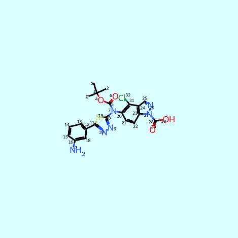 CC(C)(C)OC(=O)N(c1nnc(-c2cccc(N)c2)s1)c1ccc2c(cnn2C(=O)O)c1Cl